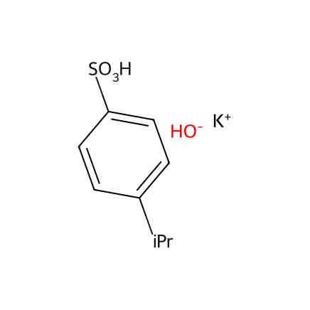 CC(C)c1ccc(S(=O)(=O)O)cc1.[K+].[OH-]